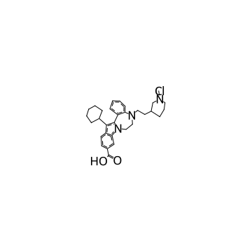 O=C(O)c1ccc2c(C3CCCCC3)c3n(c2c1)CCN(CCC1CCCN(Cl)C1)c1ccccc1-3